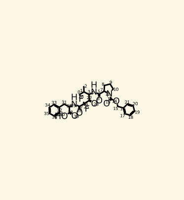 CC(C)C(NC(=O)C1CCCN1C(=O)OCc1ccccc1)C(=O)C(F)(F)C(=O)NC(Cc1ccccc1)C(=O)O